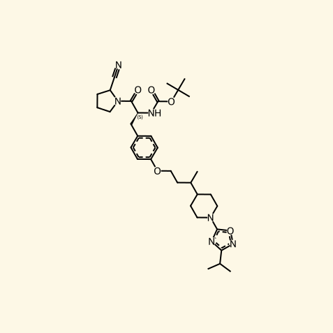 CC(C)c1noc(N2CCC(C(C)CCOc3ccc(C[C@H](NC(=O)OC(C)(C)C)C(=O)N4CCCC4C#N)cc3)CC2)n1